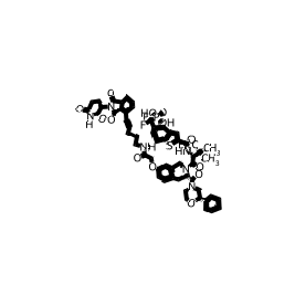 CC(C)(C)[C@H](NC(=O)c1cc2cc(C(F)(F)P(=O)(O)O)ccc2s1)C(=O)N1Cc2cc(OCC(=O)NCCCC#Cc3cccc4c3C(=O)N(C3CCC(=O)NC3=O)C4=O)ccc2C[C@H]1C(=O)N1CCO[C@H](c2ccccc2)C1